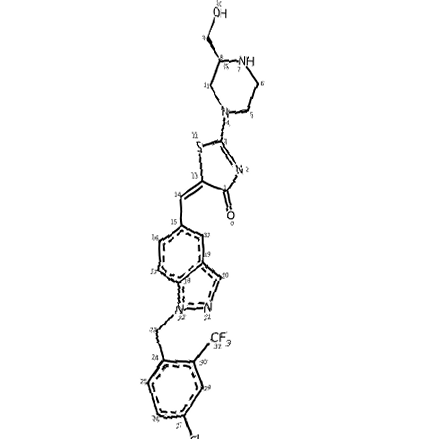 O=C1N=C(N2CCN[C@H](CO)C2)SC1=Cc1ccc2c(cnn2Cc2ccc(Cl)cc2C(F)(F)F)c1